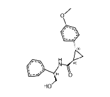 COc1ccc([C@@H]2C[C@H]2C(=O)N[C@@H](CO)c2ccccc2)cc1